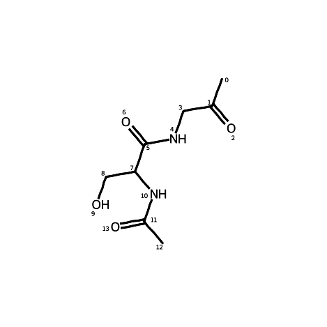 CC(=O)CNC(=O)C(CO)NC(C)=O